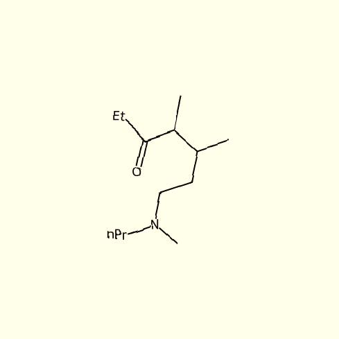 CCCN(C)CCC(C)C(C)C(=O)CC